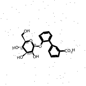 O=C(O)c1cccc(-c2ccccc2O[C@@H]2O[C@H](CO)[C@@H](O)[C@H](O)[C@@H]2O)c1